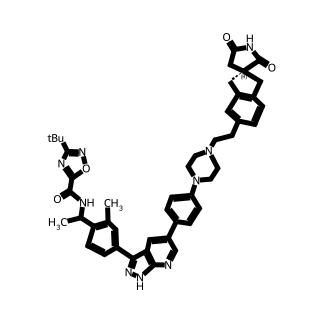 Cc1cc(-c2n[nH]c3ncc(-c4ccc(N5CCN(CCc6ccc7c(c6)C[C@@]6(CC(=O)NC6=O)C7)CC5)cc4)cc23)ccc1C(C)NC(=O)c1nc(C(C)(C)C)no1